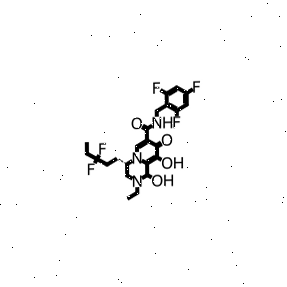 CCN1C[C@H](CCC(F)(F)CC)n2cc(C(=O)NCc3c(F)cc(F)cc3F)c(=O)c(O)c2C1O